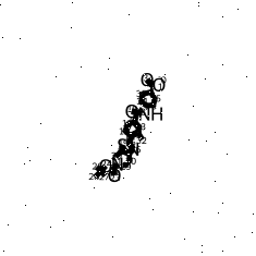 COC(=O)[C@H]1CC[C@H](NC(=O)c2ccc(-c3nc4c(s3)CN(C(=O)OC(C)(C)C)CC4)c(C)c2)CC1